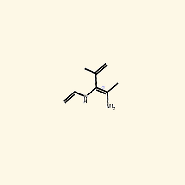 C=CN/C(C(=C)C)=C(/C)N